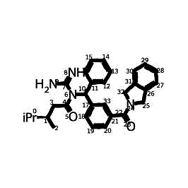 CC(C)[C@H](C)CC(=O)N(C(=N)N)C(c1ccccc1)c1cccc(C(=O)N2Cc3ccccc3C2)c1